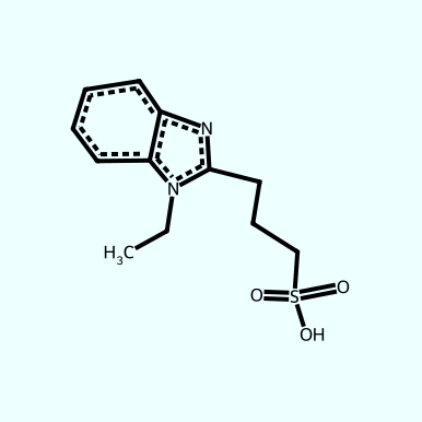 CCn1c(CCCS(=O)(=O)O)nc2ccccc21